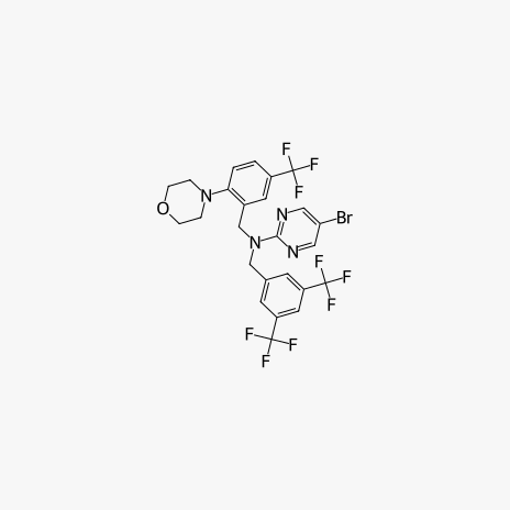 FC(F)(F)c1cc(CN(Cc2cc(C(F)(F)F)ccc2N2CCOCC2)c2ncc(Br)cn2)cc(C(F)(F)F)c1